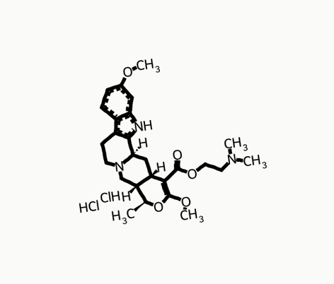 COC1=C(C(=O)OCCN(C)C)[C@H]2C[C@@H]3c4[nH]c5cc(OC)ccc5c4CCN3C[C@H]2[C@H](C)O1.Cl.Cl